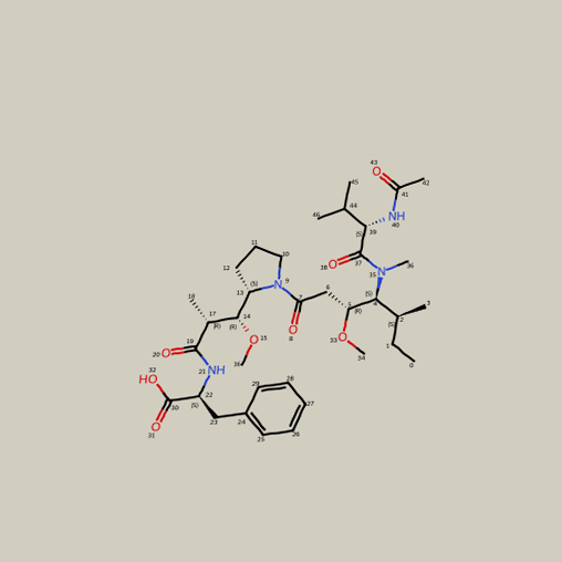 CC[C@H](C)[C@@H]([C@@H](CC(=O)N1CCC[C@H]1[C@H](OC)[C@@H](C)C(=O)N[C@@H](Cc1ccccc1)C(=O)O)OC)N(C)C(=O)[C@@H](NC(C)=O)C(C)C